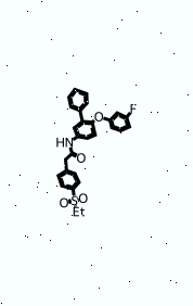 CCS(=O)(=O)c1ccc(CC(=O)Nc2ccc(Oc3cccc(F)c3)c(-c3ccccc3)c2)cc1